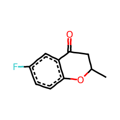 CC1CC(=O)c2cc(F)ccc2O1